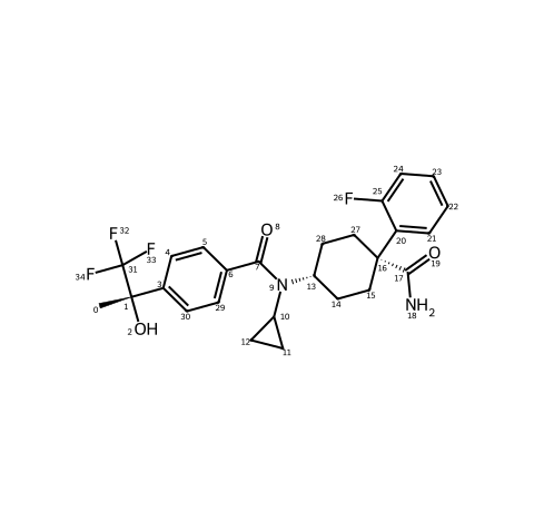 C[C@](O)(c1ccc(C(=O)N(C2CC2)[C@H]2CC[C@](C(N)=O)(c3ccccc3F)CC2)cc1)C(F)(F)F